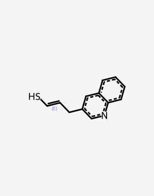 S/C=C/Cc1cnc2ccccc2c1